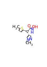 Cc1ccc([C@H]2[C@@H](C(=O)NO)[C@@H]2c2cnn(C)c2)s1